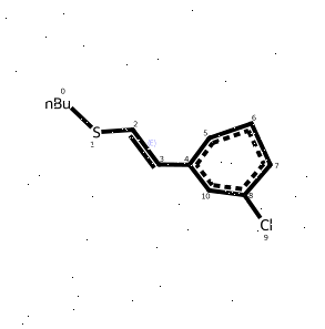 CCCCS/C=C/c1cccc(Cl)c1